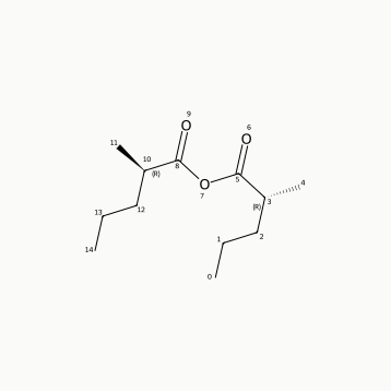 CCC[C@@H](C)C(=O)OC(=O)[C@H](C)CCC